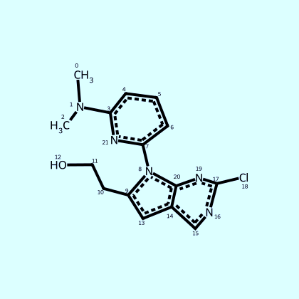 CN(C)c1cccc(-n2c(CCO)cc3cnc(Cl)nc32)n1